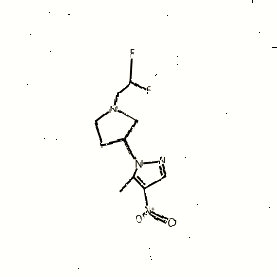 Cc1c([N+](=O)[O-])cnn1C1CCN(CC(F)F)C1